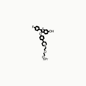 CCCOCCOCCN1CCC(c2ccc(Oc3c(-c4ccc(F)cc4)sc4cc(O)ccc34)cc2)CC1